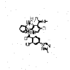 Cc1ncn(-c2ccc(C(=O)NC3C4CC[C@@H]3N(c3ncc(Cl)c(C(=N)N)c3O)C4)c(Cl)c2)n1